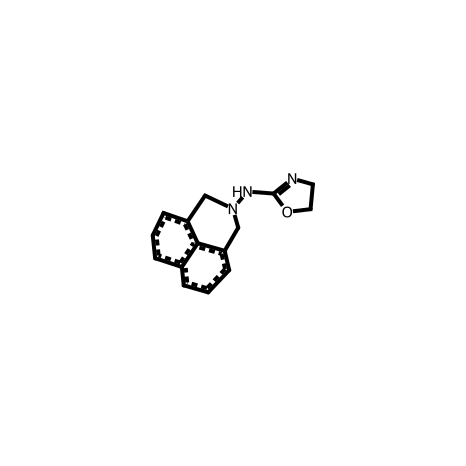 c1cc2c3c(cccc3c1)CN(NC1=NCCO1)C2